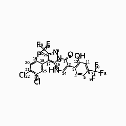 O=c1c(-c2ccc(C(F)(F)F)cc2O)c[nH]c2c(-c3ccc(Cl)c(Cl)c3)c(C(F)(F)F)nn12